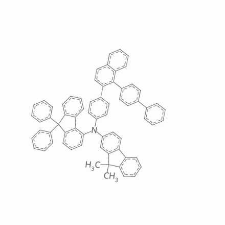 CC1(C)c2ccccc2-c2ccc(N(c3ccc(-c4ccc5ccccc5c4-c4ccc(-c5ccccc5)cc4)cc3)c3cccc4c3-c3ccccc3C4(c3ccccc3)c3ccccc3)cc21